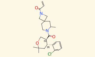 C=CC(=O)N1CC2(CCN(C(=O)[C@@H]3COC(C)(C)C[C@H]3c3ccccc3Cl)C(C)C2)C1